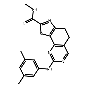 CNC(=O)c1nc2c(s1)-c1nc(Nc3cc(C)cc(C)c3)ncc1CC2